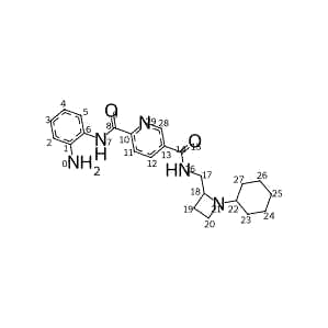 Nc1ccccc1NC(=O)c1ccc(C(=O)NCC2CCN2C2CCCCC2)cn1